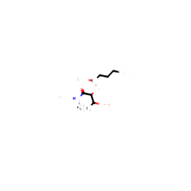 CCCCB(O)OC(C(=O)N(C)C)C(C)O